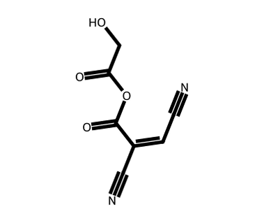 N#CC=C(C#N)C(=O)OC(=O)CO